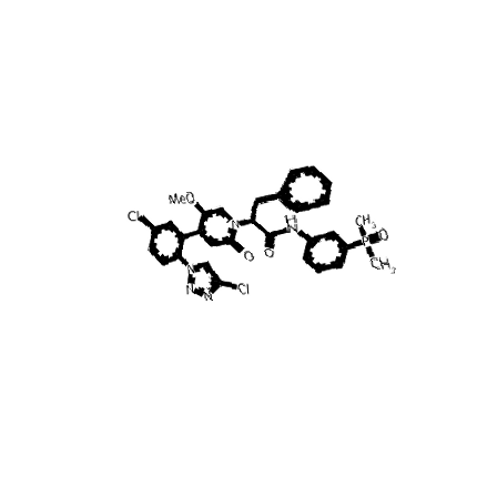 COc1cn(C(Cc2ccccc2)C(=O)Nc2cccc(P(C)(C)=O)c2)c(=O)cc1-c1cc(Cl)ccc1-n1cc(Cl)nn1